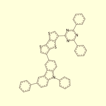 c1ccc(-c2ccc3c(c2)c2cc(-c4csc5c4sc4c(-c6nc(-c7ccccc7)nc(-c7ccccc7)n6)csc45)ccc2n3-c2ccccc2)cc1